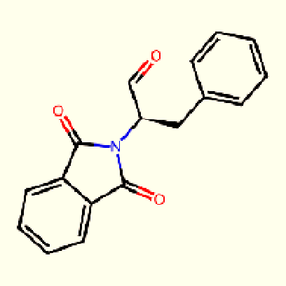 O=C[C@@H](Cc1ccccc1)N1C(=O)c2ccccc2C1=O